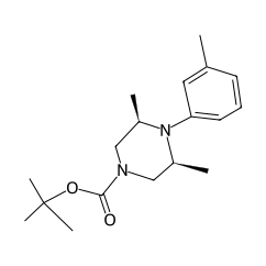 Cc1cccc(N2[C@H](C)CN(C(=O)OC(C)(C)C)C[C@@H]2C)c1